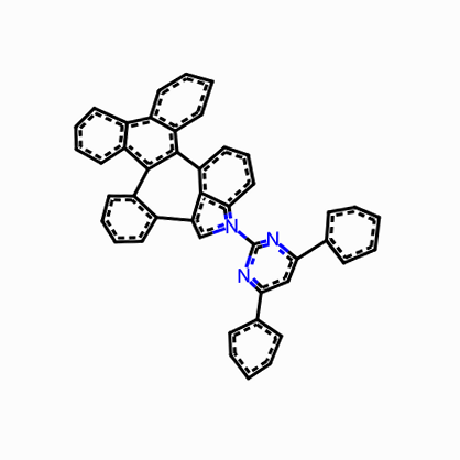 c1ccc(-c2cc(-c3ccccc3)nc(-n3cc4c5c(cccc53)-c3c(c5ccccc5c5ccccc35)-c3ccccc3-4)n2)cc1